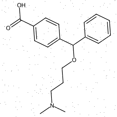 CN(C)CCCOC(c1ccccc1)c1ccc(C(=O)O)cc1